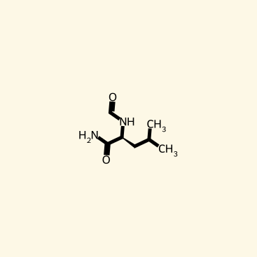 CC(C)C[C@H](NC=O)C(N)=O